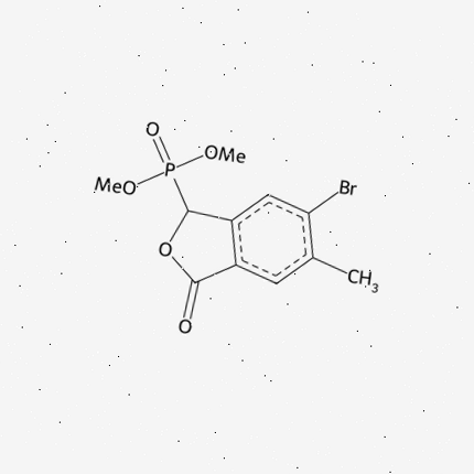 COP(=O)(OC)C1OC(=O)c2cc(C)c(Br)cc21